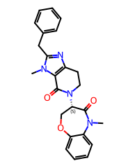 CN1C(=O)[C@@H](N2CCc3nc(Cc4ccccc4)n(C)c3C2=O)COc2ccccc21